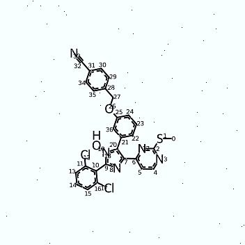 CSc1nccc(-c2nc(-c3c(Cl)cccc3Cl)n(O)c2-c2cccc(OCc3ccc(C#N)cc3)c2)n1